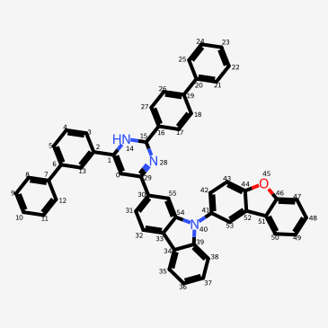 C1=C(c2cccc(-c3ccccc3)c2)NC(c2ccc(-c3ccccc3)cc2)N=C1c1ccc2c3ccccc3n(-c3ccc4oc5ccccc5c4c3)c2c1